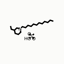 CCCCCCCCCCCCN1CCCC(CC)C1.CS(=O)(=O)O